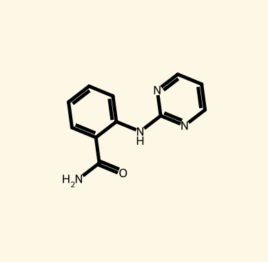 NC(=O)c1ccccc1Nc1ncccn1